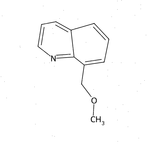 COCc1cccc2cccnc12